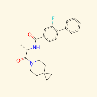 C[C@H](NC(=O)c1ccc(-c2ccccc2)c(F)c1)C(=O)N1CCC2(CC1)CC2